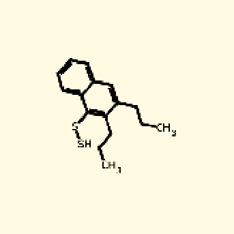 CCCc1cc2ccccc2c(SS)c1CCC